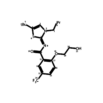 CC(C)Cn1cc(C(C)(C)C)sc1=NC(=O)c1cc(C(F)(F)F)ccc1OCCO